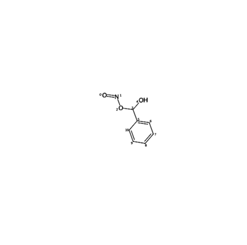 O=NOC(O)c1ccccc1